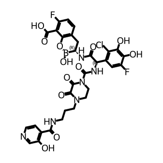 O=C(NCCCN1CCN(C(=O)N[C@@H](C(=O)N[C@H]2Cc3ccc(F)c(C(=O)O)c3OB2O)c2cc(F)c(O)c(O)c2Cl)C(=O)C1=O)c1ccncc1O